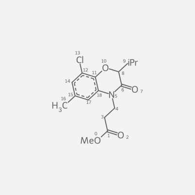 COC(=O)CCN1C(=O)C(C(C)C)Oc2c(Cl)cc(C)cc21